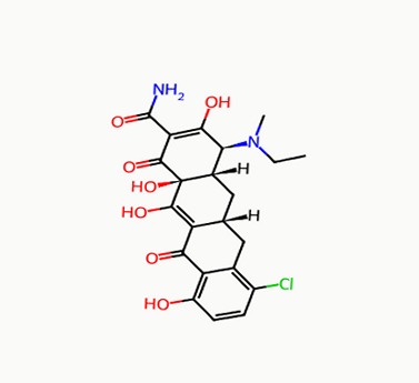 CCN(C)[C@@H]1C(O)=C(C(N)=O)C(=O)[C@@]2(O)C(O)=C3C(=O)c4c(O)ccc(Cl)c4C[C@H]3C[C@@H]12